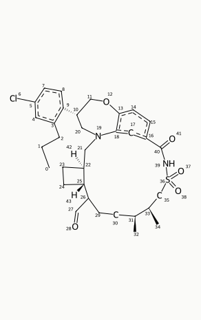 CCCc1cc(Cl)ccc1[C@@H]1COc2ccc3cc2N(C1)C[C@@H]1CC[C@H]1C(C=O)CC[C@H](C)[C@H](C)CS(=O)(=O)NC3=O